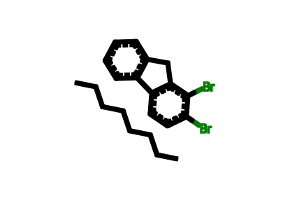 Brc1ccc2c(c1Br)Cc1ccccc1-2.CCCCCCCC